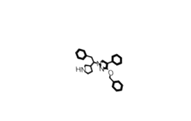 c1ccc(COc2nn(C(Cc3ccccc3)C3CCNC3)cc2-c2ccccc2)cc1